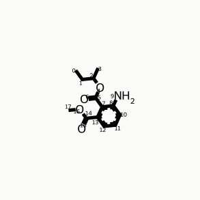 CCC(C)OC(=O)c1c(N)cccc1C(=O)OC